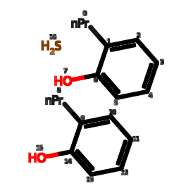 CCCc1ccccc1O.CCCc1ccccc1O.S